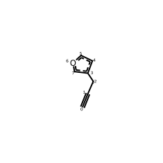 C#C[CH]c1ccoc1